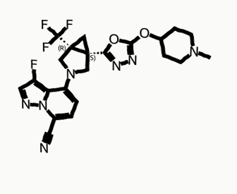 CN1CCC(Oc2nnc([C@]34CN(c5ccc(C#N)n6ncc(F)c56)C[C@@]3(C(F)(F)F)C4)o2)CC1